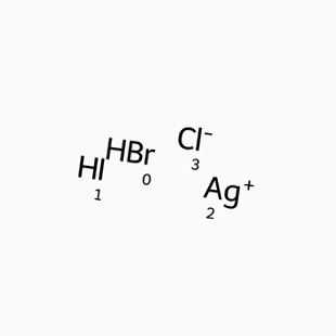 Br.I.[Ag+].[Cl-]